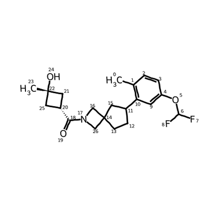 Cc1ccc(OC(F)F)cc1C1CCC2(C1)CN(C(=O)[C@H]1C[C@@](C)(O)C1)C2